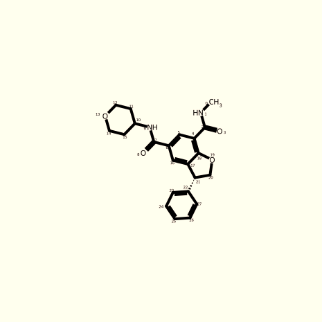 CNC(=O)c1cc(C(=O)NC2CCOCC2)cc2c1OC[C@@H]2c1ccccc1